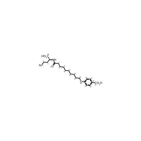 CC(=O)CC[C@H](NC(=O)CCCCCCCCCOc1ccc(C(=O)O)cc1)C(=O)O